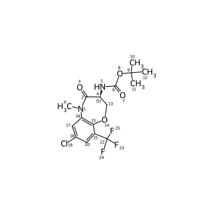 CN1C(=O)[C@@H](NC(=O)OC(C)(C)C)COc2c1cc(Cl)cc2C(F)(F)F